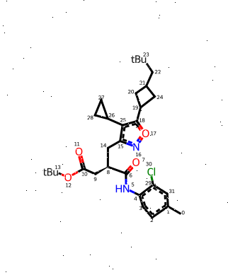 Cc1ccc(NC(=O)[C@@H](CC(=O)OC(C)(C)C)Cc2noc(C3CC(CC(C)(C)C)C3)c2C2CC2)c(Cl)c1